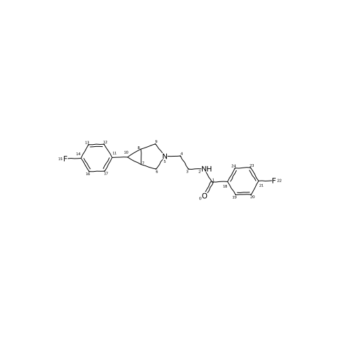 O=C(NCCN1CC2C(C1)C2c1ccc(F)cc1)c1ccc(F)cc1